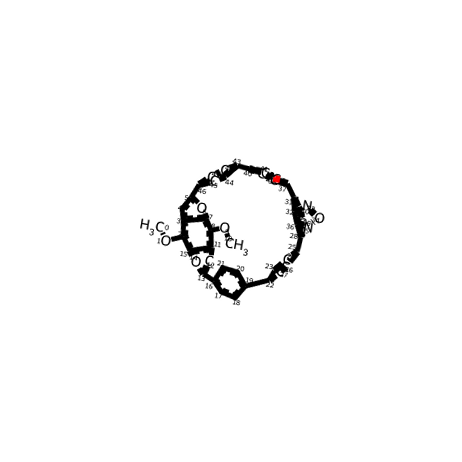 COc1c2cc3oc2c(OC)c2cc(oc12)-c1ccc(cc1)-c1ccc(cc1)-c1ccc(c2nonc12)-c1ccc(cc1)-c1ccc-3cc1